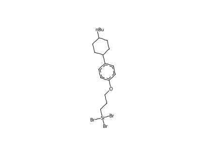 CCCCC1CCC(c2ccc(OCCC[Si](Br)(Br)Br)cc2)CC1